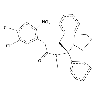 CN(C(=O)Cc1cc(Cl)c(Cl)cc1[N+](=O)[O-])[C@@](Cc1ccccc1)(c1ccccc1)N1CCCC1